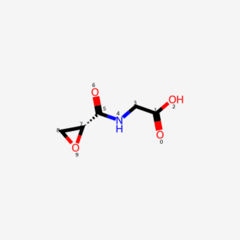 O=C(O)CNC(=O)[C@H]1CO1